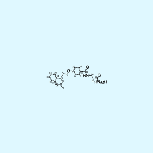 Cc1cc(CCOc2ccc(C(=O)NCCC(=O)NO)cc2)c2ccccc2n1